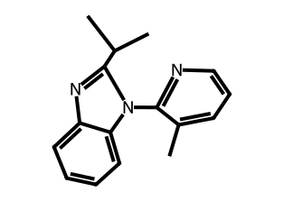 Cc1cccnc1-n1c(C(C)C)nc2ccccc21